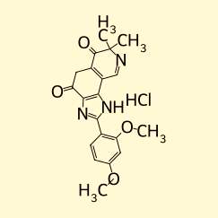 COc1ccc(-c2nc3c([nH]2)C2=C(CC3=O)C(=O)C(C)(C)N=C2)c(OC)c1.Cl